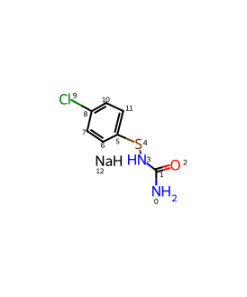 NC(=O)NSc1ccc(Cl)cc1.[NaH]